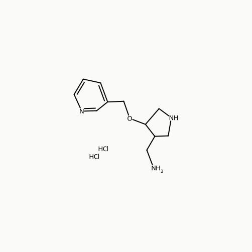 Cl.Cl.NCC1CNCC1OCc1cccnc1